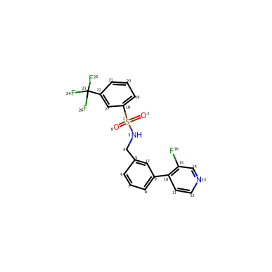 O=S(=O)(NCc1cccc(-c2ccncc2F)c1)c1cccc(C(F)(F)F)c1